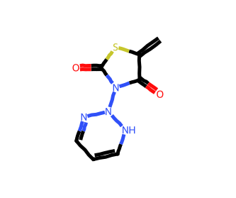 C=C1SC(=O)N(N2N=CC=CN2)C1=O